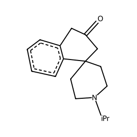 CC(C)N1CCC2(CC1)CC(=O)Cc1ccccc12